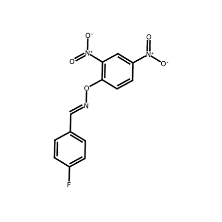 O=[N+]([O-])c1ccc(O/N=C/c2ccc(F)cc2)c([N+](=O)[O-])c1